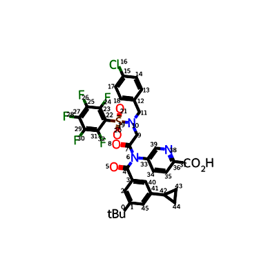 CC(C)(C)c1cc(C(=O)N(C(=O)CN(Cc2ccc(Cl)cc2)S(=O)(=O)c2c(F)c(F)c(F)c(F)c2F)c2ccc(C(=O)O)nc2)cc(C2CC2)c1